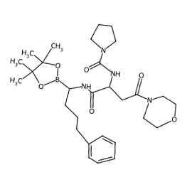 CC1(C)OB(C(CCCc2ccccc2)NC(=O)C(CC(=O)N2CCOCC2)NC(=O)N2CCCC2)OC1(C)C